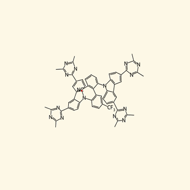 Cc1nc(C)nc(-c2ccc3c(c2)c2cc(-c4nc(C)nc(C)n4)ccc2n3-c2ccc(C(F)(F)F)cc2-c2c(C#N)cccc2-n2c3ccc(-c4nc(C)nc(C)n4)cc3c3cc(-c4nc(C)nc(C)n4)ccc32)n1